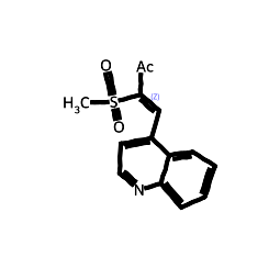 CC(=O)/C(=C/c1ccnc2ccccc12)S(C)(=O)=O